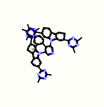 Cc1nc(C)nc(-c2ccc3c4ccc(-c5nc(C)nc(C)n5)cc4n(-c4cncc(-n5c6cc(-c7nc(C)nc(C)n7)ccc6c6ccc(-c7nc(C)nc(C)n7)cc65)c4-c4ccccc4C#N)c3c2)n1